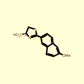 COc1ccc2cc(C3=N[C@@H](C(=O)O)CS3)ccc2c1